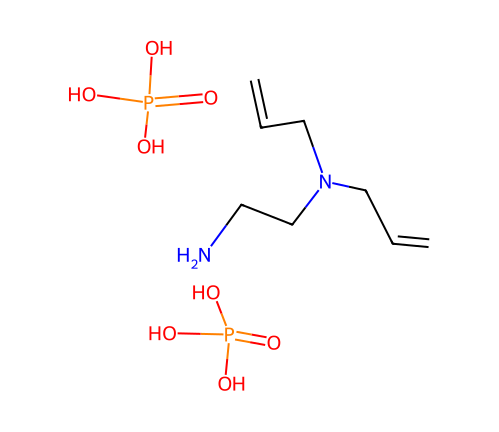 C=CCN(CC=C)CCN.O=P(O)(O)O.O=P(O)(O)O